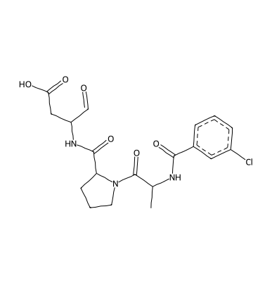 CC(NC(=O)c1cccc(Cl)c1)C(=O)N1CCCC1C(=O)NC(C=O)CC(=O)O